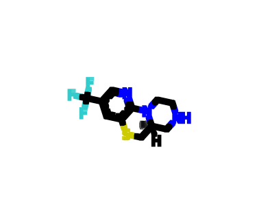 FC(F)(F)c1cnc2c(c1)SC[C@H]1CNCCN21